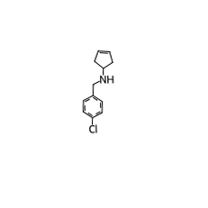 Clc1ccc(CNC2CC=CC2)cc1